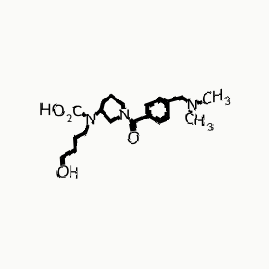 CN(C)Cc1ccc(C(=O)N2CCCC(N(CCCCO)C(=O)O)C2)cc1